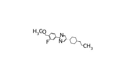 CCC[C@H]1CC[C@H](c2cnc(-c3ccc(COC)c(F)c3)nc2)CC1